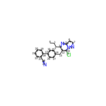 CCCc1nc2ccnn2c(Cl)c1Cc1ccc(-c2ccccc2C#N)cc1